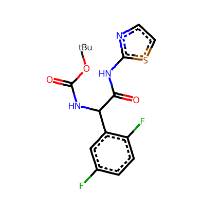 CC(C)(C)OC(=O)NC(C(=O)Nc1nccs1)c1cc(F)ccc1F